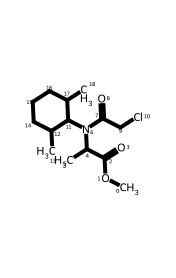 COC(=O)C(C)N(C(=O)CCl)C1C(C)CCCC1C